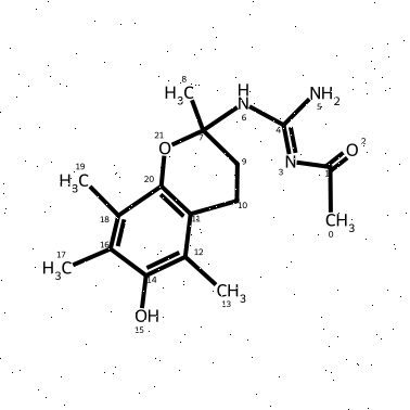 CC(=O)N=C(N)NC1(C)CCc2c(C)c(O)c(C)c(C)c2O1